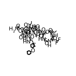 CC[C@H](C)[C@H](NC(=O)[C@@H](Cc1ccc(Oc2ccccc2)cc1)NC)C(=O)N[C@@H](CO)C(=O)N[C@H](CCC(N)=O)C(=O)N[C@@H](C(=O)N[C@H](C(=O)N[C@@H](CO)C(=O)N[C@H]1C(=O)NCC(=O)N[C@@]2(C[C@H]2CC(F)F)C(=O)N[C@@H]([C@@H](C)CC)C(=O)O[C@H]1C)[C@@H](C)CC)[C@@H](C)CC